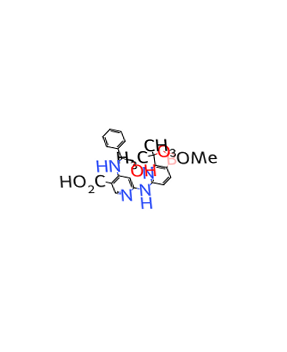 COB1OC(C)(C)c2nc(Nc3cc(N[C@H](CO)c4ccccc4)c(C(=O)O)cn3)ccc21